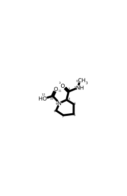 CNC(=O)C1CCCCN1C(=O)O